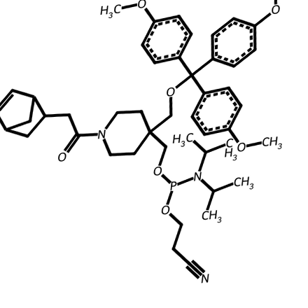 COc1ccc(C(OCC2(COP(OCCC#N)N(C(C)C)C(C)C)CCN(C(=O)CC3CC4C=CC3C4)CC2)(c2ccc(OC)cc2)c2ccc(OC)cc2)cc1